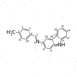 Cc1ccc(C=Nc2ccc3[nH]c4ccccc4c3c2)cc1